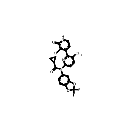 Cc1ccc(N(C(=O)C2CC2)c2ccc3c(c2)OC(F)(F)O3)nc1-c1cc[nH]c(=O)c1Cl